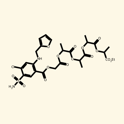 CCOC(=O)C(C)OC(=O)C(C)OC(=O)C(C)OC(=O)C(C)OC(=O)COC(=O)c1cc(S(N)(=O)=O)c(Cl)cc1NCc1ccco1